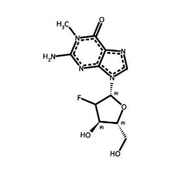 Cn1c(N)nc2c(ncn2[C@@H]2O[C@H](CO)[C@@H](O)C2F)c1=O